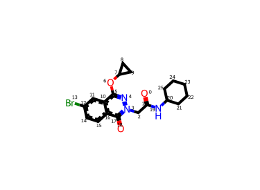 O=C(Cn1nc(OC2CC2)c2cc(Br)ccc2c1=O)NC1CCCCC1